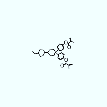 C=C(C)C(=O)Oc1ccc(C2(c3ccc(OC(=O)C(=C)C)cc3)CCC(C3CCC(CC)CC3)CC2)cc1